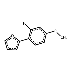 COc1ccc(-c2ccco2)c(F)c1